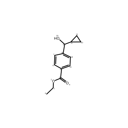 CCOC(=O)c1ccc(C(O)C2CC2)cc1